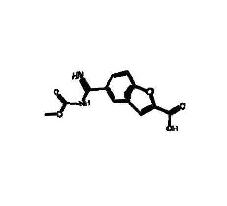 COC(=O)NC(=N)c1ccc2oc(C(=O)O)cc2c1